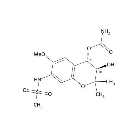 COc1cc2c(cc1NS(C)(=O)=O)OC(C)(C)[C@H](O)[C@H]2OC(N)=O